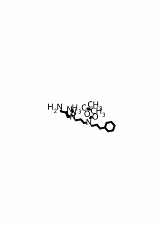 CC(C)(C)OC(=O)N(CCCC1CCCCC1)CCCn1cc(CN)nn1